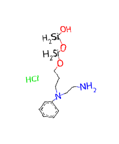 Cl.NCCN(CCCO[SiH2]O[SiH2]O)c1ccccc1